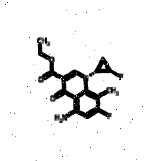 CCOC(=O)c1cn([C@@H]2C[C@H]2F)c2c(C)c(F)cc(N)c2c1=O